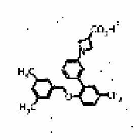 Cc1cc(C)cc(COc2ccc(C(F)(F)F)cc2-c2cccc(N3CC(C(=O)O)C3)c2)c1